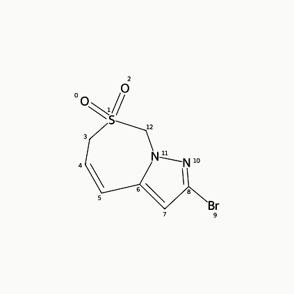 O=S1(=O)CC=Cc2cc(Br)nn2C1